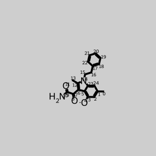 Cc1cc([O])c2c(C(=O)C(N)=O)c(C)n(CCc3ccccc3)c2c1